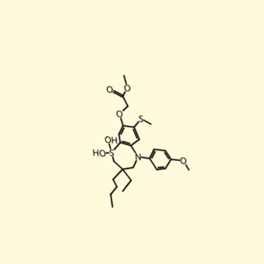 CCCCC1(CC)CN(c2ccc(OC)cc2)c2cc(SC)c(OCC(=O)OC)cc2S(O)(O)C1